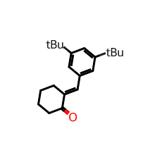 CC(C)(C)c1cc(C=C2CCCCC2=O)cc(C(C)(C)C)c1